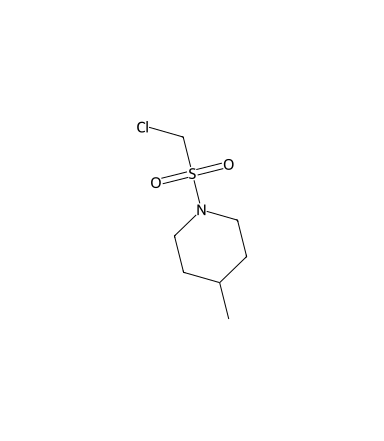 CC1CCN(S(=O)(=O)CCl)CC1